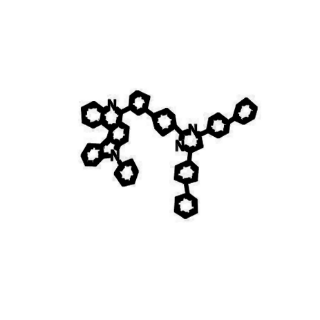 c1ccc(-c2ccc(-c3cc(-c4ccc(-c5ccccc5)cc4)nc(-c4ccc(-c5cccc(-c6nc7ccccc7c7c6ccc6c7c7ccccc7n6-c6ccccc6)c5)cc4)n3)cc2)cc1